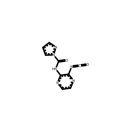 O=C=Nc1nccnc1NC(=O)n1cccn1